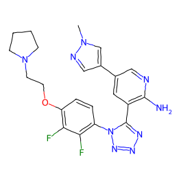 Cn1cc(-c2cnc(N)c(-c3nnnn3-c3ccc(OCCN4CCCC4)c(F)c3F)c2)cn1